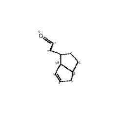 O=CCC1CCC2CC=CC12